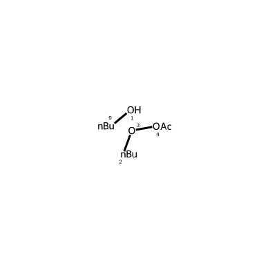 CCCCO.CCCCOOC(C)=O